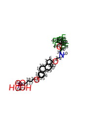 CN(CCO[C@H]1CCC2C3CCc4cc(OCCCCOP(=O)(O)O)ccc4C3CC[C@@]21C)CCOC(C(F)(F)F)(C(F)(F)F)C(F)(F)F